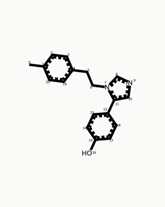 Cc1ccc(CCn2cncc2-c2ccc(O)cc2)cc1